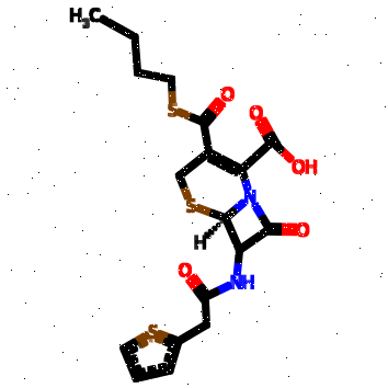 CCCCSC(=O)C1=C(C(=O)O)N2C(=O)C(NC(=O)Cc3cccs3)[C@H]2SC1